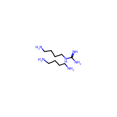 N=C(N)NCCCCN.NCCCCN